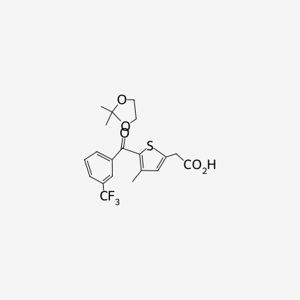 CC1(C)OCCO1.Cc1cc(CC(=O)O)sc1C(=O)c1cccc(C(F)(F)F)c1